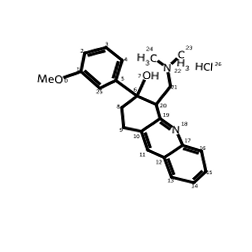 COc1cccc(C2(O)CCc3cc4ccccc4nc3C2CN(C)C)c1.Cl